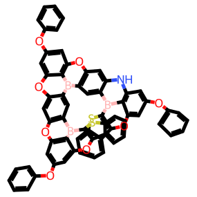 c1ccc(Oc2cc3c4c(c2)Oc2c(sc5ccccc25)B4c2cc4c(cc2N3)Oc2cc(Oc3ccccc3)cc3c2B4c2cc4c(cc2O3)Oc2cc(Oc3ccccc3)cc3c2B4c2sc4ccccc4c2O3)cc1